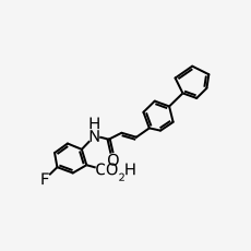 O=C(/C=C/c1ccc(-c2ccccc2)cc1)Nc1ccc(F)cc1C(=O)O